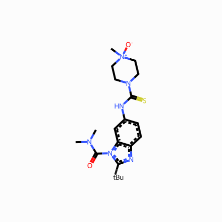 CN(C)C(=O)n1c(C(C)(C)C)nc2ccc(NC(=S)N3CC[N+](C)([O-])CC3)cc21